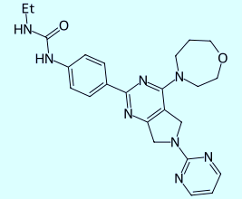 CCNC(=O)Nc1ccc(-c2nc3c(c(N4CCCOCC4)n2)CN(c2ncccn2)C3)cc1